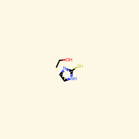 CCO.Sc1ncc[nH]1